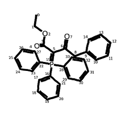 CCOC(=O)C(C(=O)Cc1ccccc1)=P(c1ccccc1)(c1ccccc1)c1ccccc1